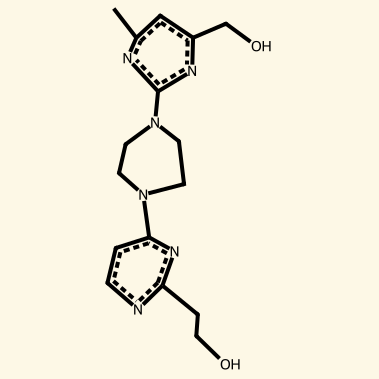 Cc1cc(CO)nc(N2CCN(c3ccnc(CCO)n3)CC2)n1